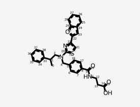 CC(CN(Cc1ccc(C(=O)NCCC(=O)O)cc1)c1nc(-c2cc3ccccc3o2)cs1)c1ccccc1